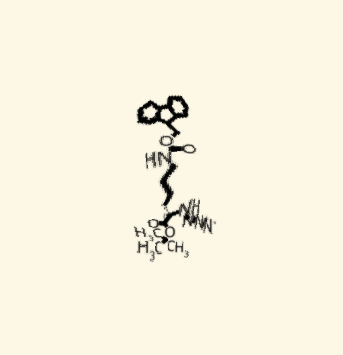 CC(C)(C)OC(=O)[C@H](CCCCNC(=O)OCC1c2ccccc2-c2ccccc21)NN=[N+]=[N-]